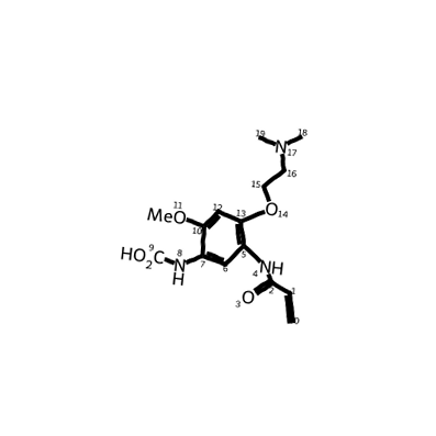 C=CC(=O)Nc1cc(NC(=O)O)c(OC)cc1OCCN(C)C